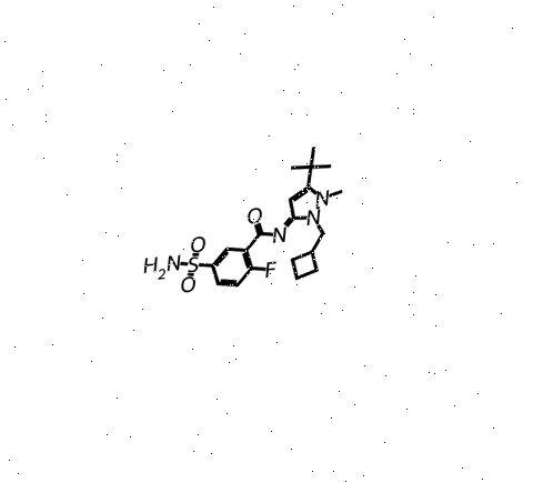 Cn1c(C(C)(C)C)cc(=NC(=O)c2cc(S(N)(=O)=O)ccc2F)n1CC1CCC1